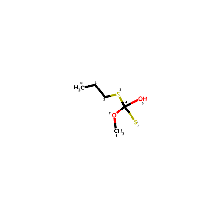 CCCSC(O)([S])OC